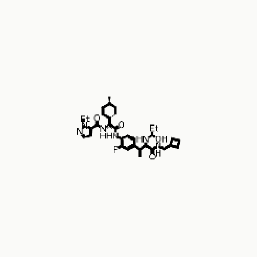 CCC(O)NC(C(=O)NCC1CCC1)C(C)c1ccc(NC(=O)[C@@H](NC(=O)c2ccnn2CC)[C@H]2CC[C@H](C)CC2)c(F)c1